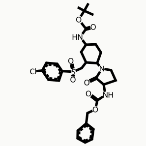 CC(C)(C)OC(=O)NC1CCC(N2CCC(NC(=O)OCc3ccccc3)C2=O)C(CS(=O)(=O)c2ccc(Cl)cc2)C1